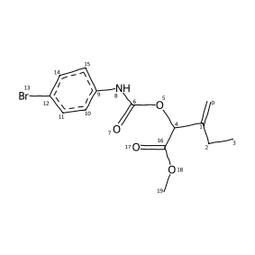 C=C(CC)C(OC(=O)Nc1ccc(Br)cc1)C(=O)OC